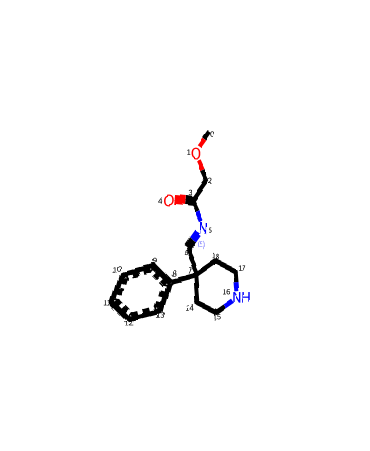 COCC(=O)/N=C/C1(c2ccccc2)CCNCC1